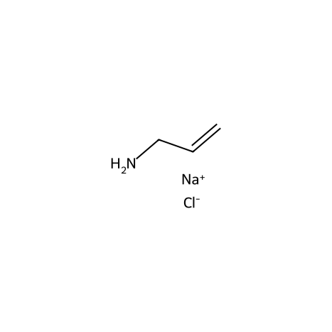 C=CCN.[Cl-].[Na+]